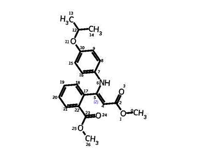 COC(=O)/C=C(\Nc1ccc(OC(C)C)cc1)c1ccccc1C(=O)OC